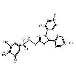 O=S(=O)(NCC1=NN(c2ccc(Cl)cc2Cl)C(c2ccc(Cl)cc2)C1)c1cc(Cl)c(O)c(Cl)c1